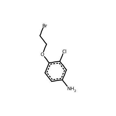 Nc1ccc(OCCBr)c(Cl)c1